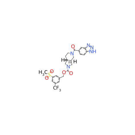 CS(=O)(=O)c1cc(COC(=O)N2C[C@@H]3CN(C(=O)c4ccc5[nH]nnc5c4)CC[C@H]3C2)cc(C(F)(F)F)c1